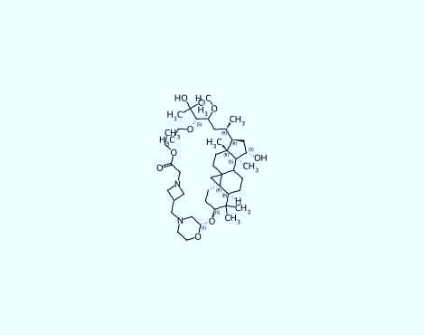 CCOC(=O)CN1CC(CN2CCO[C@@H](O[C@H]3CC[C@]45CC46CC[C@]4(C)[C@@H]([C@H](C)CC(OC)[C@H](OCC)C(C)(C)O)C[C@H](O)[C@@]4(C)C6CC[C@H]5C3(C)C)C2)C1